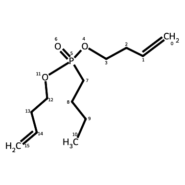 C=CCCOP(=O)(CCCC)OCCC=C